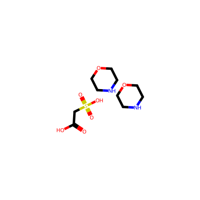 C1COCCN1.C1COCCN1.O=C(O)CS(=O)(=O)O